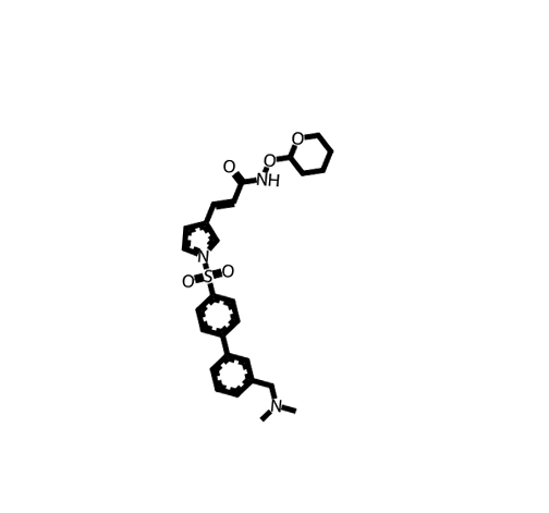 CN(C)Cc1cccc(-c2ccc(S(=O)(=O)n3ccc(C=CC(=O)NOC4CCCCO4)c3)cc2)c1